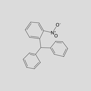 O=[N+]([O-])c1ccccc1C(c1ccccc1)c1ccccc1